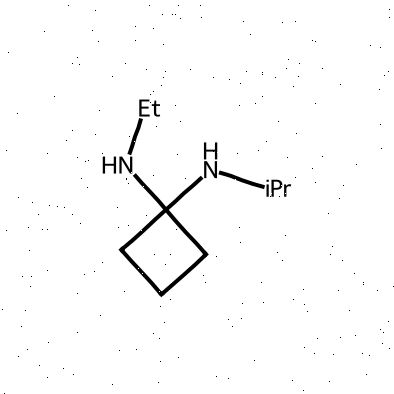 CCNC1(NC(C)C)CCC1